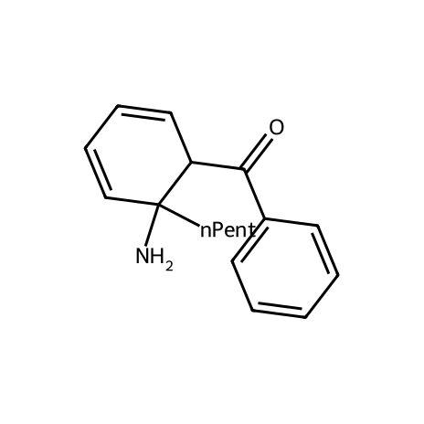 CCCCCC1(N)C=CC=CC1C(=O)c1ccccc1